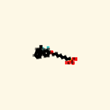 O=P(O)(O)CCCCCCCCOc1ccc([C@]23CC4CC(C[C@H](C4)C2)C3)c(F)c1F